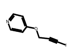 IC#CCOc1ccncc1